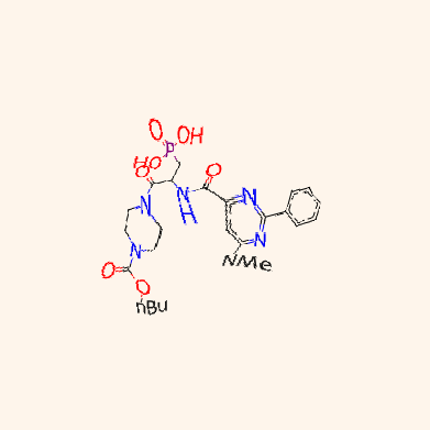 CCCCOC(=O)N1CCN(C(=O)C(CP(=O)(O)O)NC(=O)c2cc(NC)nc(-c3ccccc3)n2)CC1